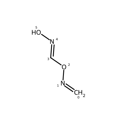 C=NOC=NO